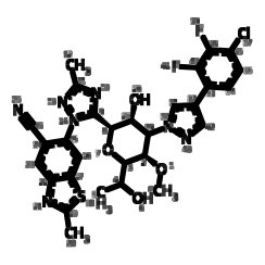 CO[C@H]1C(C(C)O)O[C@@H](c2nc(C)nn2-c2cc3sc(C)nc3cc2C#N)[C@@H](O)C1n1cc(-c2ccc(Cl)c(F)c2F)cn1